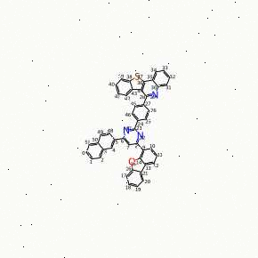 c1ccc2cc(-c3cc(-c4cccc5c4oc4ccccc45)nc(-c4ccc(-c5nc6ccccc6c6sc7ccccc7c56)cc4)n3)ccc2c1